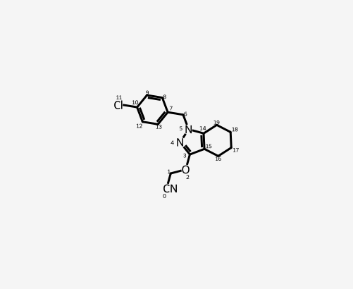 N#CCOc1nn(Cc2ccc(Cl)cc2)c2c1CCCC2